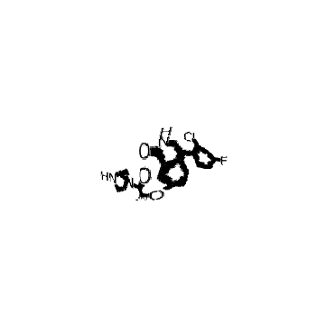 C[C@@H](Oc1ccc2c(-c3ccc(F)cc3Cl)c[nH]c(=O)c2c1)C(=O)N1CC2CC1CN2